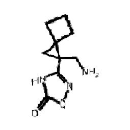 NCC1(c2noc(=O)[nH]2)CC12CCC2